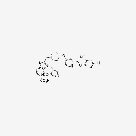 Cn1cncc1Cn1c(CN2CCC(Oc3ccnc(COc4ccc(Cl)cc4C#N)c3)CC2)nc2ccc(C(=O)O)cc21